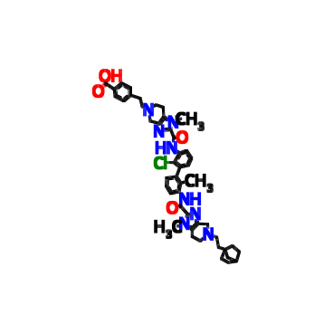 Cc1c(NC(=O)c2nc3c(n2C)CCN(CCC24CCC(CC2)C4)C3)cccc1-c1cccc(NC(=O)c2nc3c(n2C)CCN(CCc2ccc(C(=O)O)cc2)C3)c1Cl